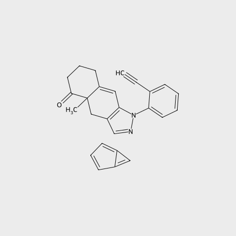 C#Cc1ccccc1-n1ncc2c1C=C1CCCC(=O)C1(C)C2.c1cc2cc-2c1